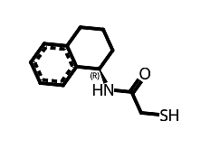 O=C(CS)N[C@@H]1CCCc2ccccc21